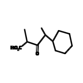 CCOC(=O)C(C)C(=O)C(C)C1CCCCC1